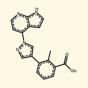 Cc1c(C(=O)O)cccc1-c1cnn(-c2ccnc3[nH]ccc23)c1